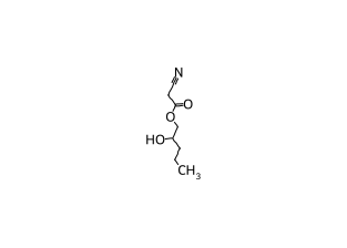 CCCC(O)COC(=O)CC#N